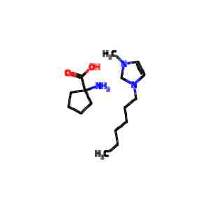 CCCCCCN1C=CN(C)C1.NC1(C(=O)O)CCCC1